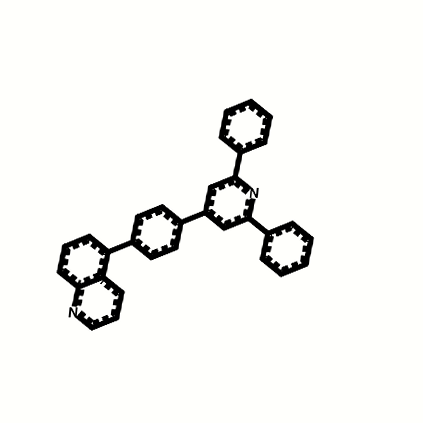 c1ccc(-c2cc(-c3ccc(-c4cccc5ncccc45)cc3)cc(-c3ccccc3)n2)cc1